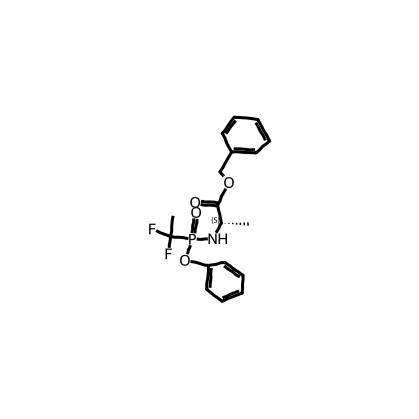 C[C@H](NP(=O)(Oc1ccccc1)C(C)(F)F)C(=O)OCc1ccccc1